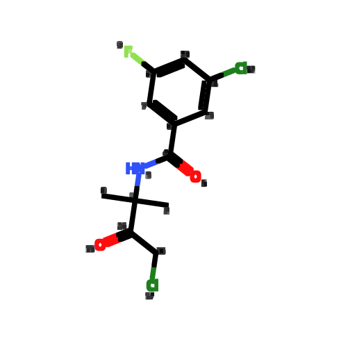 CC(C)(NC(=O)c1cc(F)cc(Cl)c1)C(=O)CCl